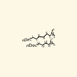 CCCCCCCCCCCCCCCCN(C)C.CCCCCCCCCCCCCCN(C)C